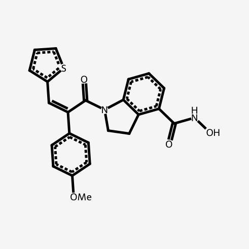 COc1ccc(/C(=C/c2cccs2)C(=O)N2CCc3c(C(=O)NO)cccc32)cc1